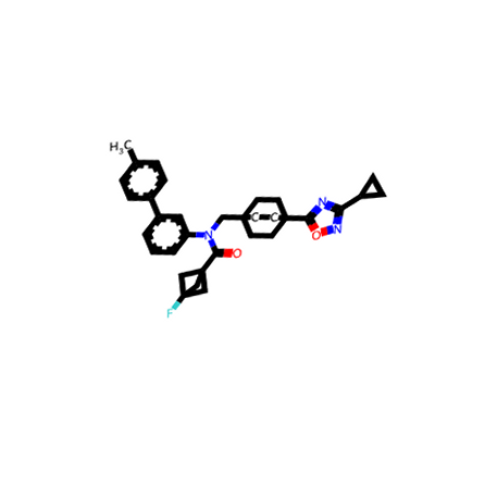 Cc1ccc(-c2cccc(N(CC34CCC(c5nc(C6CC6)no5)(CC3)CC4)C(=O)C34CC(F)(C3)C4)c2)cc1